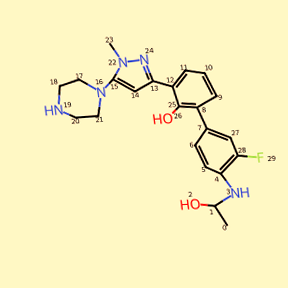 CC(O)Nc1ccc(-c2cccc(-c3cc(N4CCNCC4)n(C)n3)c2O)cc1F